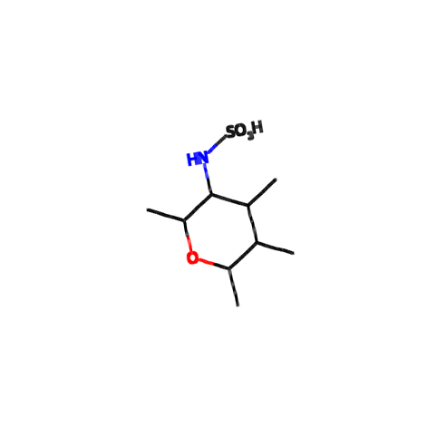 CC1OC(C)C(NS(=O)(=O)O)C(C)C1C